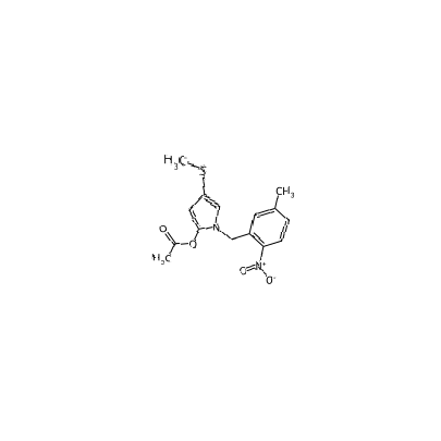 CSc1cc(OC(C)=O)n(Cc2cc(C)ccc2[N+](=O)[O-])c1